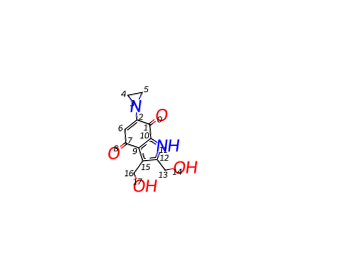 O=C1C(N2CC2)=CC(=O)c2c1[nH]c(CO)c2CO